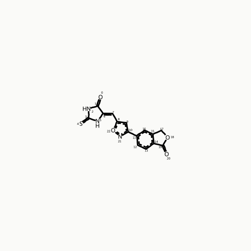 O=C1NC(=S)N/C1=C\c1cc(-c2ccc3c(c2)COC3=O)no1